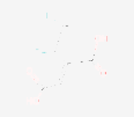 O=C(O)C=C(C(=O)O)C(F)C(F)F